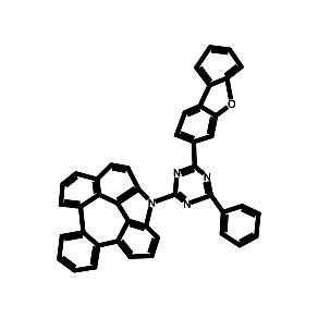 c1ccc(-c2nc(-c3ccc4c(c3)oc3ccccc34)nc(-n3c4cccc5c4c4c6c(cccc6ccc43)-c3ccccc3-5)n2)cc1